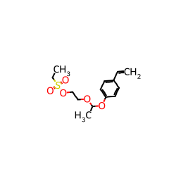 C=Cc1ccc(OC(C)OCCOS(=O)(=O)CC)cc1